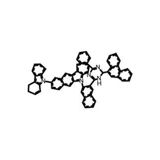 C1=Cc2c(c3ccccc3n2-c2ccc3cc4c(cc3c2)c2ccccc2n4-c2cc3ccccc3cc2C2=NC(c3ccccc3)=NC(c3cc4ccccc4c4ccccc34)N2)CC1